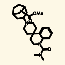 COC(=O)N1CC2CCC1CC(N1CCC3(CCN(C(=O)N(C)C)c4ccccc43)CC1)C2